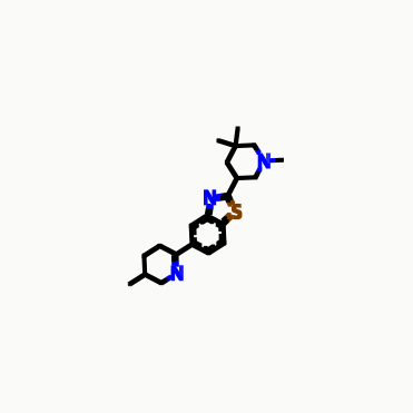 CC1CCC(c2ccc3sc(C4CN(C)CC(C)(C)C4)nc3c2)=NC1